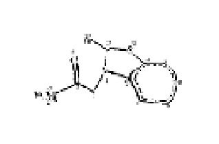 NC(=O)CN1c2ccccc2SC1Br